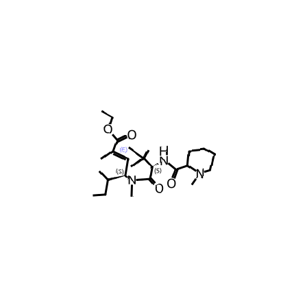 CCOC(=O)/C(C)=C/[C@H](C(C)CC)N(C)C(=O)[C@@H](NC(=O)C1CCCCN1C)C(C)(C)C